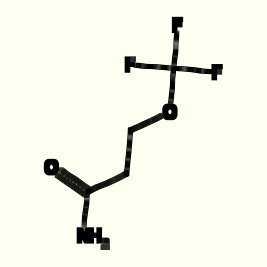 NC(=O)CCOC(F)(F)F